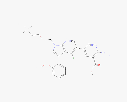 COC(=O)c1cc(-c2cnc3c(c(-c4ccccc4OC)cn3COCC[Si](C)(C)C)c2Cl)cnc1N